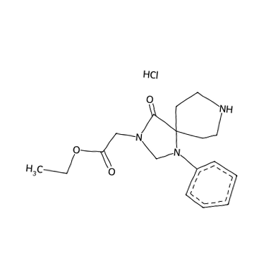 CCOC(=O)CN1CN(c2ccccc2)C2(CCNCC2)C1=O.Cl